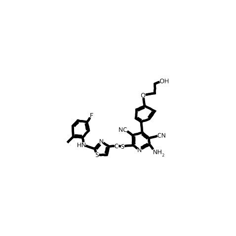 Cc1ccc(F)cc1Nc1nc(CSc2nc(N)c(C#N)c(-c3ccc(OCCO)cc3)c2C#N)cs1